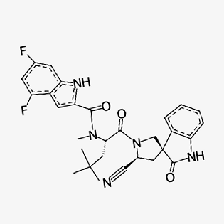 CN(C(=O)c1cc2c(F)cc(F)cc2[nH]1)[C@@H](CC(C)(C)C)C(=O)N1C[C@]2(C[C@H]1C#N)C(=O)Nc1ccccc12